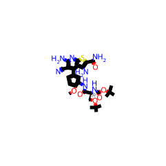 COc1ccc(-c2c(C#N)c(N)nc3sc(C(N)=O)c(N)c23)cc1NC(=O)[C@H](COC(C)(C)C)NC(=O)OC(C)(C)C